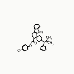 CN(C)C(c1ccccc1)C1CCC2(CC1)c1[nH]c3ccccc3c1CCN2C(=O)COc1ccc(Cl)cc1